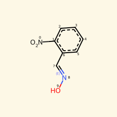 O=[N+]([O-])c1ccccc1/C=N/O